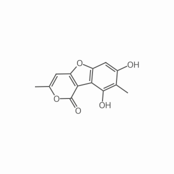 Cc1cc2oc3cc(O)c(C)c(O)c3c2c(=O)o1